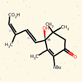 CCCCC1=C(C)[C@](O)(/C=C/C(C)=C\C(=O)O)C(C)(C)CC1=O